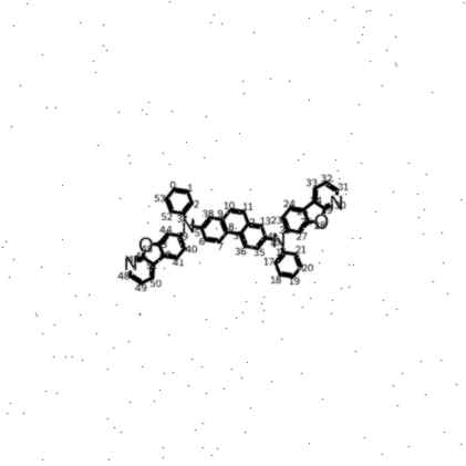 c1ccc(N(c2ccc3c(ccc4cc(N(c5ccccc5)c5ccc6c(c5)oc5ncccc56)ccc43)c2)c2ccc3c(c2)oc2ncccc23)cc1